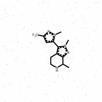 CC1NCCc2c1nn(C)c2-c1cc(C(F)(F)F)nn1C